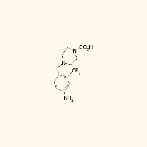 Nc1ccc(CN2CCN(C(=O)O)CC2)c(C(F)(F)F)c1